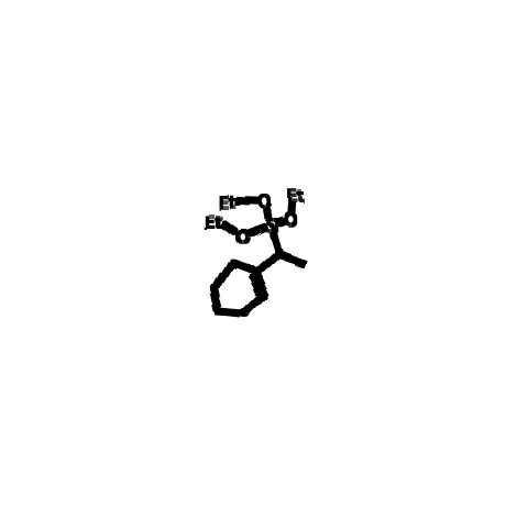 CCO[Si](OCC)(OCC)C(C)C1=CCCCC1